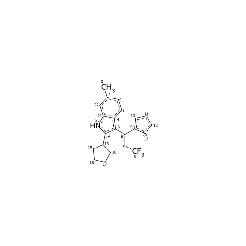 Cc1ccc2c(C(CC(F)(F)F)c3cccs3)c(C3CCCC3)[nH]c2c1